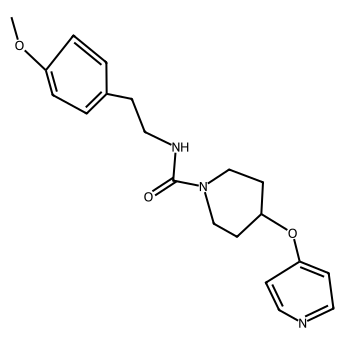 COc1ccc(CCNC(=O)N2CCC(Oc3ccncc3)CC2)cc1